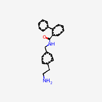 NCCc1ccc(CNC(=O)c2ccccc2-c2ccccc2)cc1